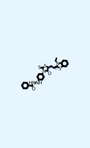 CCN1/C(=C\C=C2\SC(=S)N(c3ccc(NNC(=O)c4ccccc4)cc3)C2=O)Sc2ccccc21